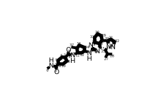 CNC(=O)c1ccc(C(=O)Nc2cc(Nc3ncc4c(-c5ccnn5CC(C)C)cccc4n3)ccc2C)cc1